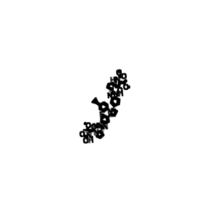 COC(=O)N[C@H](C(=O)N1CCC[C@H]1c1nc2cc([C@@H]3CC[C@@H](c4ccc5[nH]c([C@@H]6CCCN6C(=O)[C@H]([C@@H](C)OC)N(C)C(=O)O)nc5c4)N3c3ccc(C4CC4)cc3F)ccc2[nH]1)C(C)OC